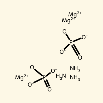 N.N.N.O=P([O-])([O-])[O-].O=P([O-])([O-])[O-].[Mg+2].[Mg+2].[Mg+2]